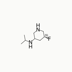 CC(C)NC1CNC[C@@H](F)C1